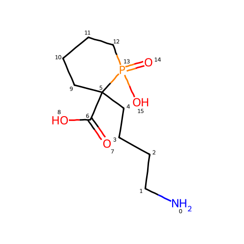 NCCCCC1(C(=O)O)CCCCP1(=O)O